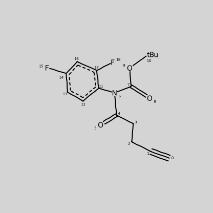 C#CCCC(=O)N(C(=O)OC(C)(C)C)c1ccc(F)cc1F